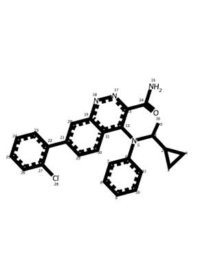 CC(C1CC1)N(c1ccccc1)c1c(C(N)=O)nnc2cc(-c3ccccc3Cl)ccc12